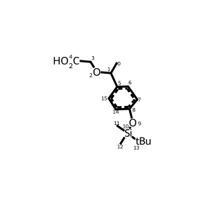 CC(OCC(=O)O)c1ccc(O[Si](C)(C)C(C)(C)C)cc1